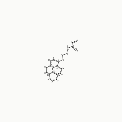 C=CC(=O)OCCCc1ccc2ccc3cccc4ccc1c2c34